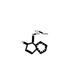 COC.O=C1C=Cc2ccccc2C1=NO